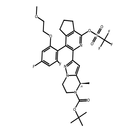 COCCOc1cc(F)cc(F)c1-c1c(-c2cc3n(n2)CCN(C(=O)OC(C)(C)C)[C@@H]3C)nc(OS(=O)(=O)C(F)(F)F)c2c1CCC2